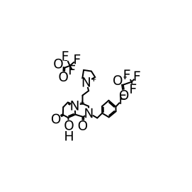 O=C([O-])C(F)(F)F.O=C([O-])C(F)(F)F.O=C1CC=[N+]2C(=C1O)C(=O)N(Cc1ccc(F)cc1)CC2CC[N+]1=CCCC1